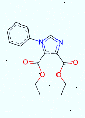 CCOC(=O)c1ncn(-c2ccccc2)c1C(=O)OCC